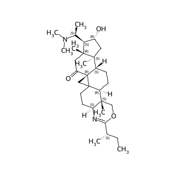 CC[C@H](C)C1=N[C@H]2CCC34C[C@]35C(=O)C[C@]3(C)[C@@H]([C@H](C)N(C)C)[C@H](O)C[C@@]3(C)[C@@H]5CC[C@H]4[C@]2(C)CO1